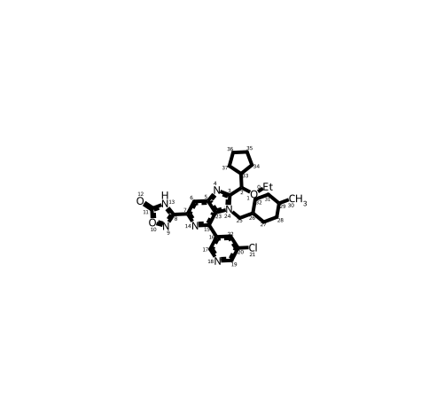 CCOC(c1nc2cc(-c3noc(=O)[nH]3)nc(-c3cncc(Cl)c3)c2n1CC1CCC(C)CC1)C1CCCC1